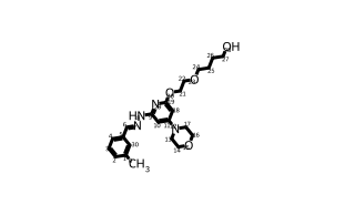 Cc1cccc(C=NNc2cc(N3CCOCC3)cc(OCCOCCCCO)n2)c1